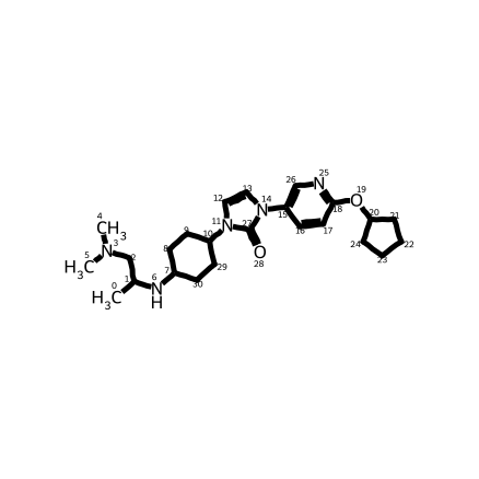 CC(CN(C)C)NC1CCC(n2ccn(-c3ccc(OC4CCCC4)nc3)c2=O)CC1